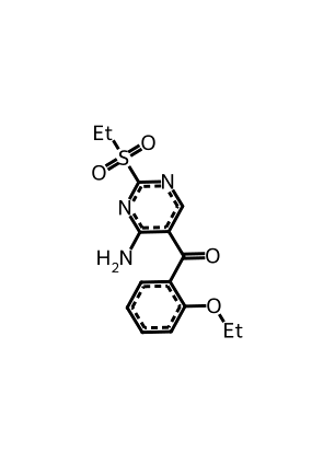 CCOc1ccccc1C(=O)c1cnc(S(=O)(=O)CC)nc1N